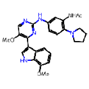 COc1cnc(Nc2ccc(N3CCCC3)c(NC(C)=O)c2)nc1-c1c[nH]c2c(OC)cccc12